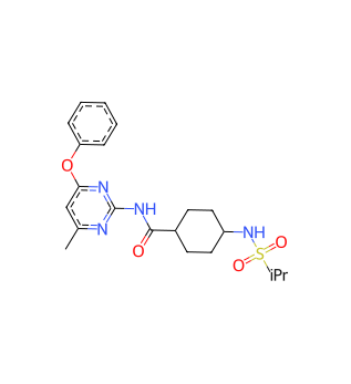 Cc1cc(Oc2ccccc2)nc(NC(=O)C2CCC(NS(=O)(=O)C(C)C)CC2)n1